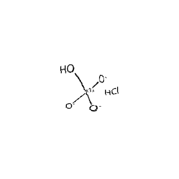 Cl.[O-][I+3]([O-])([O-])O